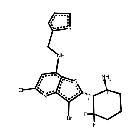 N[C@H]1CCCC(F)(F)[C@@H]1c1sc2c(NCc3cccs3)cc(Cl)nc2c1Br